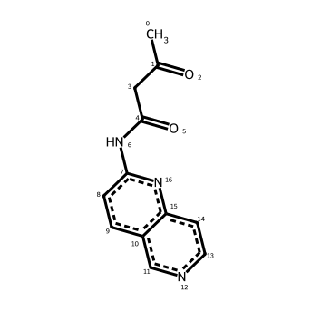 CC(=O)CC(=O)Nc1ccc2cnccc2n1